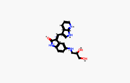 O=C1Nc2ccc(NCC(O)CO)cc2/C1=C\c1c[nH]c2ncccc12